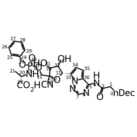 CCCCCCCCCCCC(=O)Nc1ncnn2c([C@@H]3O[C@](C#N)(CO[P@@](=O)(N[C@@H](C)C(=O)O)Oc4ccccc4)[C@@H](O)[C@H]3O)ccc12